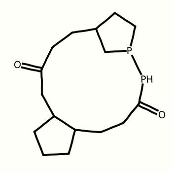 O=C1CCC2CCP(C2)PC(=O)CCC2CCCC2C1